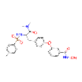 Cc1ccc(S(=O)(=O)NC(Cc2ccc(Oc3cccc(C(=O)NO)c3)cc2)C(=O)N(C)C)cc1